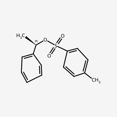 Cc1ccc(S(=O)(=O)O[C@H](C)c2ccccc2)cc1